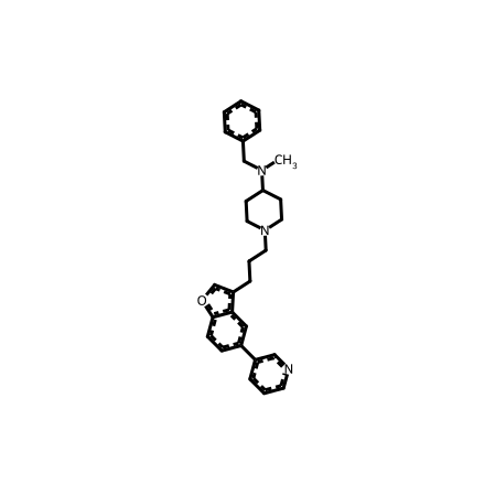 CN(Cc1ccccc1)C1CCN(CCCc2coc3ccc(-c4cccnc4)cc23)CC1